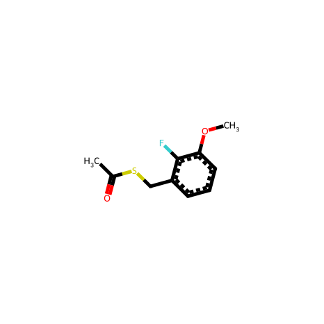 COc1cccc(CSC(C)=O)c1F